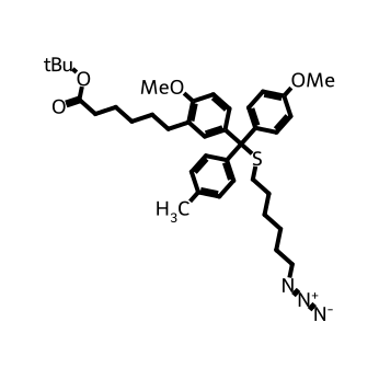 COc1ccc(C(SCCCCCCN=[N+]=[N-])(c2ccc(C)cc2)c2ccc(OC)c(CCCCCC(=O)OC(C)(C)C)c2)cc1